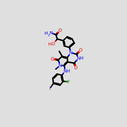 Cc1c(=O)n(C)c(Nc2ccc(I)cc2F)c2c(=O)[nH]c(=O)n(-c3cccc(C(O)C(N)=O)c3)c12